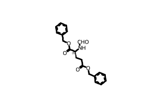 O=CN[C@@H](CCC(=O)OCc1ccccc1)C(=O)OCc1ccccc1